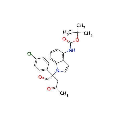 CC(=O)CC(C=O)(c1ccc(Cl)cc1)n1ccc2c(NC(=O)OC(C)(C)C)cccc21